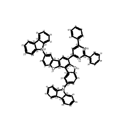 c1ccc(-c2cc(-c3cc4c5cc(-n6c7ccccc7c7ccccc76)ccc5oc4c4c3oc3ccc(-n5c6ccccc6c6ccccc65)cc34)nc(-c3ccccc3)n2)cc1